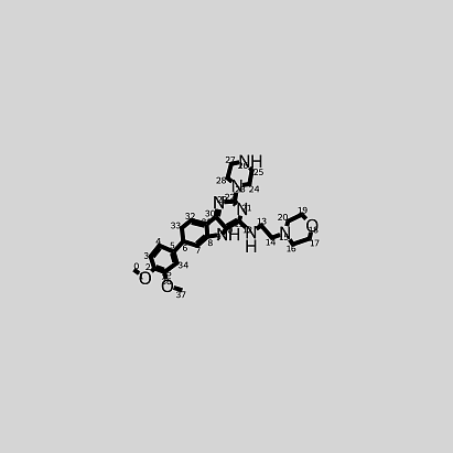 COc1ccc(C2C=c3[nH]c4c(NCCN5CCOCC5)nc(N5CCNCC5)nc4c3=CC2)cc1OC